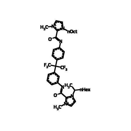 CCCCCCCCn1cc[n+](C)c1/C([O-])=N/c1ccc(C(c2cccc(/N=C(\[O-])c3n(C(C)CCCCCC)cc[n+]3C)c2)(C(F)(F)F)C(F)(F)F)cc1